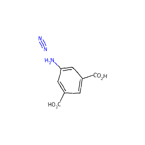 N#N.Nc1cc(C(=O)O)cc(C(=O)O)c1